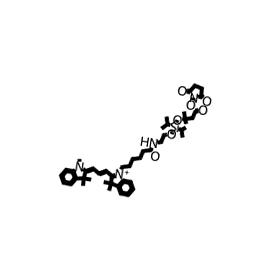 CC(C)[Si](OCCNC(=O)CCCCC[N+]1=C(/C=C/C=C2/N(C)c3ccccc3C2(C)C)C(C)(C)c2ccccc21)(OC(C)(C)CC(=O)ON1C(=O)CCC1=O)C(C)C